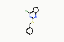 Clc1nc(SCc2ccccc2)nc2c1CCC2